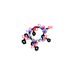 O=C1NCC(C(=O)NCCO)NC(=O)c2ccc(n(OCc3ccccc3)c2=O)C(=O)NCCCN(C(=O)c2cccc(=O)n2OCc2ccccc2)CCCCN(C(=O)c2cccc(=O)n2OCc2ccccc2)CCCNC(=O)c2ccc1c(=O)n2OCc1ccccc1